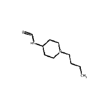 CCCCN1CCC(NC=O)CC1